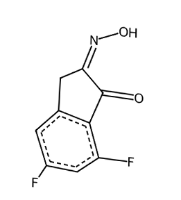 O=C1C(=NO)Cc2cc(F)cc(F)c21